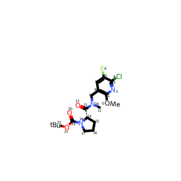 COc1nc(Cl)c(F)cc1CN(C)C(=O)[C@@H]1CCCN1C(=O)OC(C)(C)C